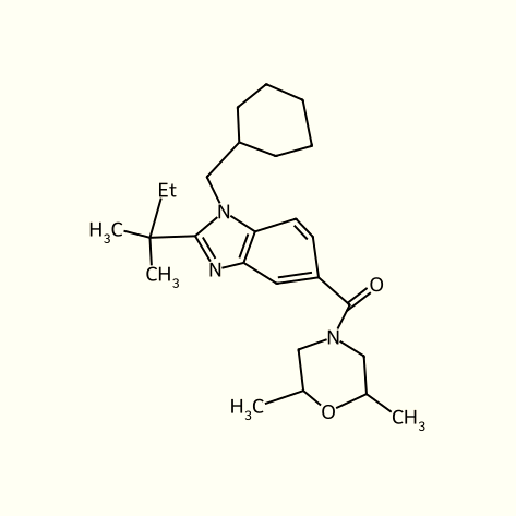 CCC(C)(C)c1nc2cc(C(=O)N3CC(C)OC(C)C3)ccc2n1CC1CCCCC1